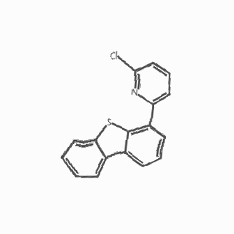 Clc1cccc(-c2cccc3c2sc2ccccc23)n1